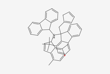 Cc1ccc(C)c2c1C=CC2[SiH](C1c2ccccc2-c2ccccc21)C1(CC2=CC=CC2)c2ccccc2-c2cccc(C(C)(C)C)c21